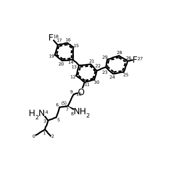 CC(C)C(N)CC[C@H](N)COc1cc(-c2ccc(F)cc2)cc(-c2ccc(F)cc2)c1